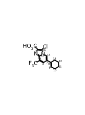 O=C(O)c1nc2c(C(F)(F)F)cc(C3=CCCCC3)cn2c1Cl